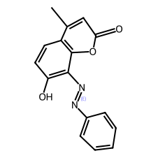 Cc1cc(=O)oc2c(/N=N/c3ccccc3)c(O)ccc12